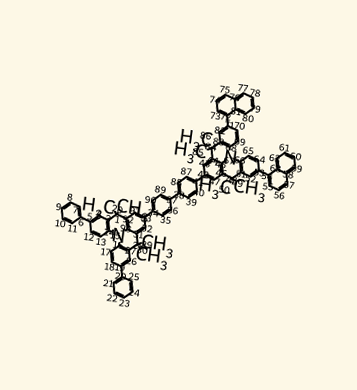 CC1(C)c2cc(-c3ccccc3)ccc2N2c3ccc(-c4ccccc4)cc3C(C)(C)c3cc(-c4ccc(-c5ccc(-c6cc7c8c(c6)C(C)(C)c6cc(-c9cccc%10ccccc9%10)ccc6N8c6ccc(-c8cccc9ccccc89)cc6C7(C)C)cc5)cc4)cc1c32